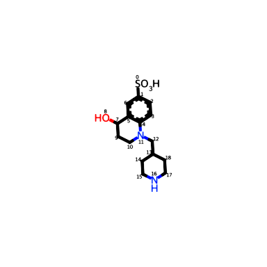 O=S(=O)(O)c1ccc2c(c1)C(O)CCN2CC1CCNCC1